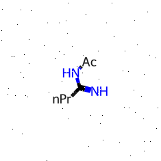 CCCC(=N)NC(C)=O